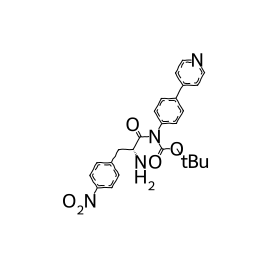 CC(C)(C)OC(=O)N(C(=O)[C@H](N)Cc1ccc([N+](=O)[O-])cc1)c1ccc(-c2ccncc2)cc1